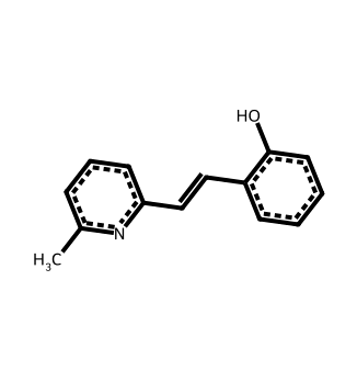 Cc1cccc(/C=C/c2ccccc2O)n1